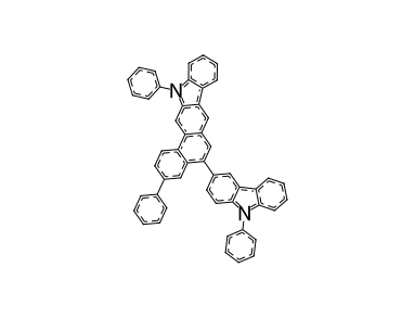 c1ccc(-c2ccc3c(c2)c(-c2ccc4c(c2)c2ccccc2n4-c2ccccc2)cc2cc4c5ccccc5n(-c5ccccc5)c4cc23)cc1